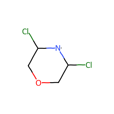 ClC1COCC(Cl)[N]1